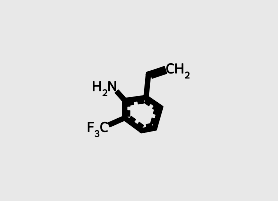 C=Cc1cccc(C(F)(F)F)c1N